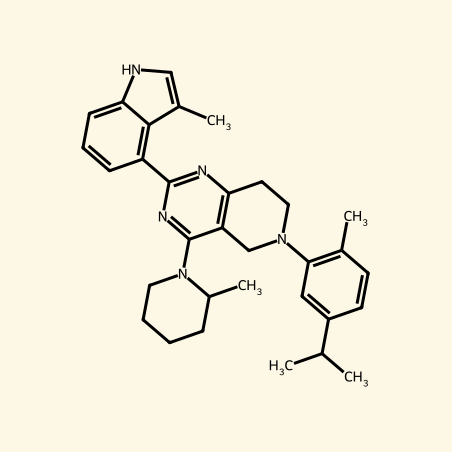 Cc1ccc(C(C)C)cc1N1CCc2nc(-c3cccc4[nH]cc(C)c34)nc(N3CCCCC3C)c2C1